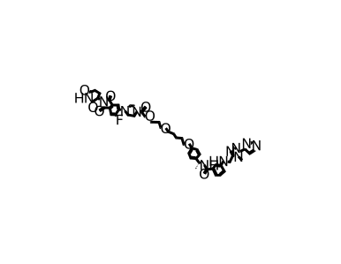 C[C@@H](NC(=O)c1cccc(NCc2nnc(-c3ccncn3)n2C)c1)c1ccc(OCCCCCOCCCOCC(=O)N2CCN(c3cc4c(cc3F)C(=O)N(C3CCC(=O)NC3=O)C4=O)CC2)cc1